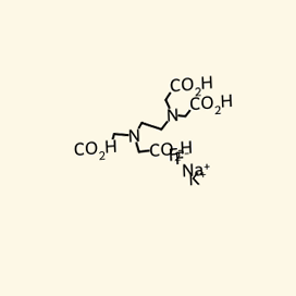 O=C(O)CN(CCN(CC(=O)O)CC(=O)O)CC(=O)O.[F-].[F-].[K+].[Na+]